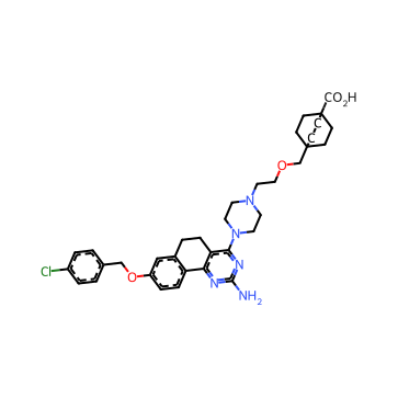 Nc1nc2c(c(N3CCN(CCOCC45CCC(C(=O)O)(CC4)CC5)CC3)n1)CCc1cc(OCc3ccc(Cl)cc3)ccc1-2